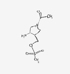 CS(=O)(=O)OCC1CN(C(=O)O)CC1N